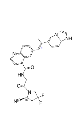 C/C(=C\c1ccc2nccc(C(=O)NCC(=O)N3CC(F)(F)C[C@H]3C#N)c2c1)C1=CN2C=CNC2C=C1